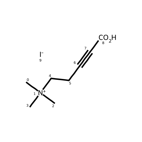 C[N+](C)(C)CCC#CC(=O)O.[I-]